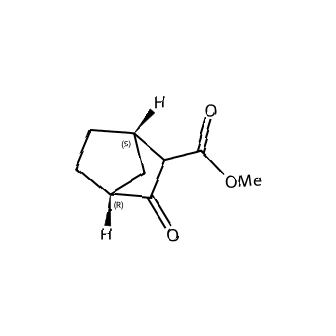 COC(=O)C1C(=O)[C@@H]2CC[C@H]1C2